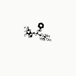 N=P(O)(O)OC[C@@H](OCn1cnc2c(=O)[nH]c(N)nc21)OOc1ccccc1